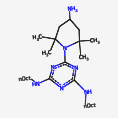 CCCCCCCCNc1nc(NCCCCCCCC)nc(N2C(C)(C)CC(N)CC2(C)C)n1